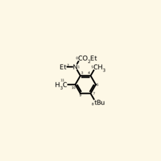 CCOC(=O)N(CC)c1c(C)cc(C(C)(C)C)cc1C